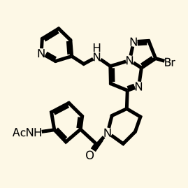 CC(=O)Nc1cccc(C(=O)N2CCCC(c3cc(NCc4cccnc4)n4ncc(Br)c4n3)C2)c1